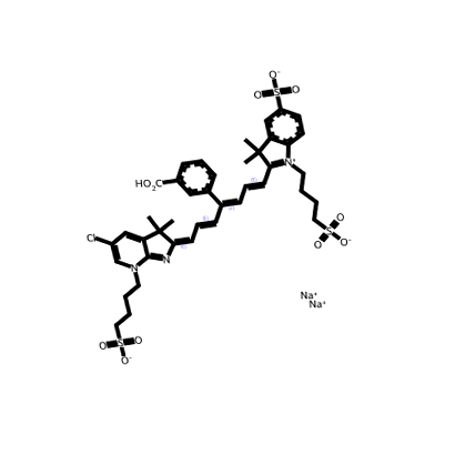 CC1(C)C2=CC(Cl)=CN(CCCCS(=O)(=O)[O-])C2=N/C1=C/C=C/C(=C/C=C/C1=[N+](CCCCS(=O)(=O)[O-])c2ccc(S(=O)(=O)[O-])cc2C1(C)C)c1cccc(C(=O)O)c1.[Na+].[Na+]